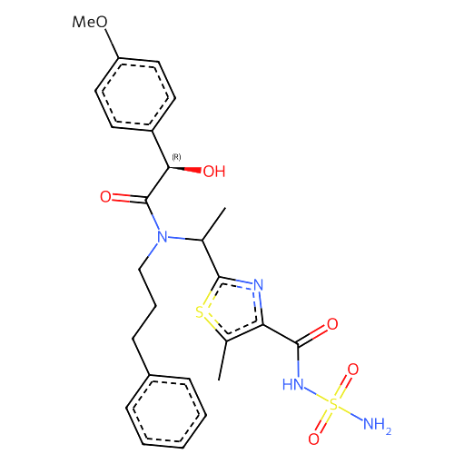 COc1ccc([C@@H](O)C(=O)N(CCCc2ccccc2)C(C)c2nc(C(=O)NS(N)(=O)=O)c(C)s2)cc1